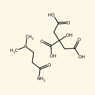 CN(C)CCC(N)=O.O=C(O)CC(O)(CC(=O)O)C(=O)O